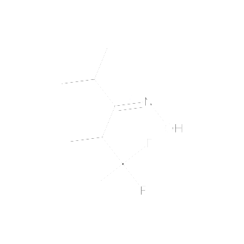 CC(C)/C(=N/O)C(C)C(F)(F)F